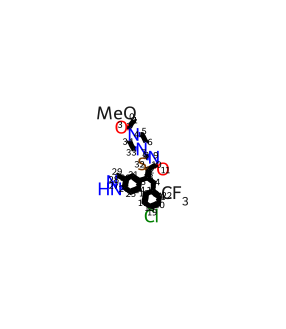 COCC(=O)N1CCN(C2=NC(=O)C(=C(Cc3ccc(Cl)cc3C(F)(F)F)c3ccc4[nH]ncc4c3)S2)CC1